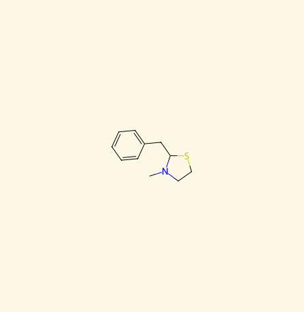 CN1CCSC1Cc1ccccc1